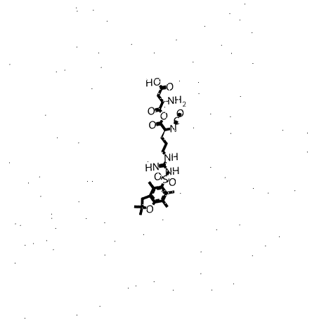 Cc1c(C)c(S(=O)(=O)NC(=N)NCCC[C@H](N=C=O)C(=O)OC(=O)[C@@H](N)CC(=O)O)c(C)c2c1OC(C)(C)C2